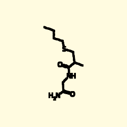 CCCCSCC(C)C(=O)NCC(N)=O